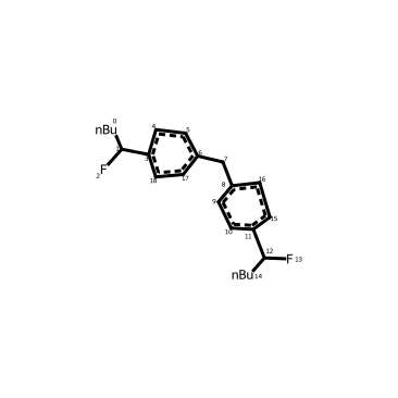 CCCCC(F)c1ccc(Cc2ccc(C(F)CCCC)cc2)cc1